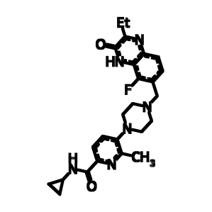 CCc1nc2ccc(CN3CCN(c4ccc(C(=O)NC5CC5)nc4C)CC3)c(F)c2[nH]c1=O